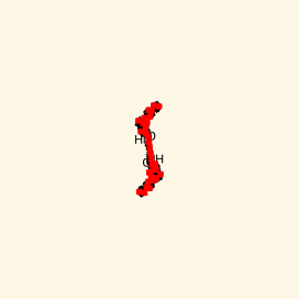 CC1(C)c2cc(C(=O)NCCSSCCNC(=O)c3ccc4c(c3)C(C)(C)C3(/C=C/c5ccc(N6CCCC6)cc5)OCCN43)ccc2N2CCOC21/C=C/c1ccc(N2CCCC2)cc1